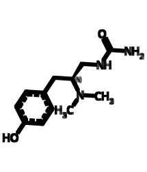 CN(C)[C@H](CNC(N)=O)Cc1ccc(O)cc1